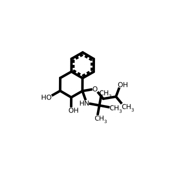 CC(O)COC1(NC(C)(C)C)c2ccccc2CC(O)C1O